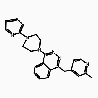 Cc1cc(Cc2nnc(N3CCN(c4ccccn4)CC3)c3ccccc23)ccn1